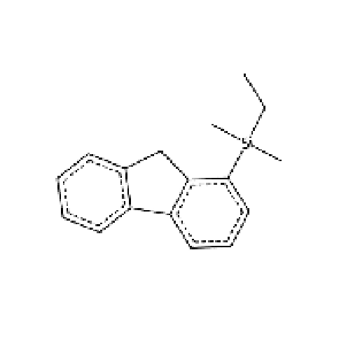 CC[Si](C)(C)c1cccc2c1Cc1ccccc1-2